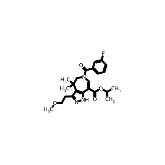 COCCc1n[nH]c2c1C(C)(C)CN(C(=O)c1cccc(F)c1)C=C2C(=O)OC(C)C